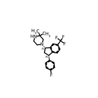 CC1(C)CN([C@H]2C[C@H](c3ccc(F)cc3)c3ccc(C(F)(F)F)cc32)CCN1